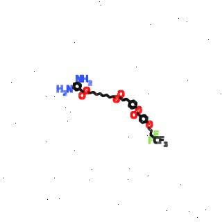 Nc1cc(N)cc(C(=O)OCCCCCCCCOC(=O)C=Cc2ccc(OC(=O)c3ccc(OCCCC(F)(F)C(F)(F)F)cc3)cc2)c1